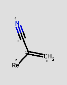 C=[C]([Re])C#N